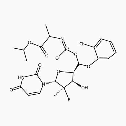 CC(C)OC(=O)C(C)/N=[P+](\[O-])OC(Oc1ccccc1Cl)[C@@H]1O[C@@H](n2ccc(=O)[nH]c2=O)[C@](C)(F)[C@@H]1O